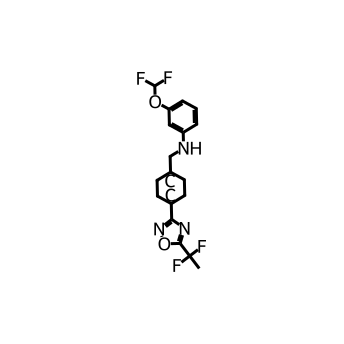 CC(F)(F)c1nc(C23CCC(CNc4cccc(OC(F)F)c4)(CC2)CC3)no1